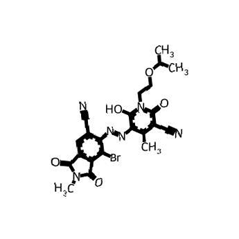 Cc1c(/N=N/c2c(C#N)cc3c(c2Br)C(=O)N(C)C3=O)c(O)n(CCOC(C)C)c(=O)c1C#N